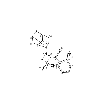 CC1(C)CN(C2C3CC4CC(C3)CC2C4)N1C(=O)c1ccccc1C(F)(F)F